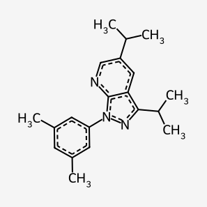 Cc1cc(C)cc(-n2nc(C(C)C)c3cc(C(C)C)cnc32)c1